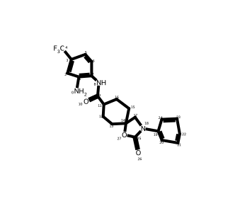 Nc1cc(C(F)(F)F)ccc1NC(=O)C1CCC2(CC1)CN(c1ccccc1)C(=O)O2